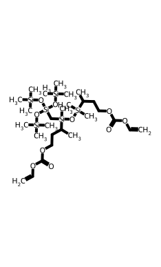 C=COC(=O)OCCC(C)[Si](C)(C)O[Si](C)(C[Si](O[Si](C)(C)C)(O[Si](C)(C)C)O[Si](C)(C)C)C(C)CCOC(=O)OC=C